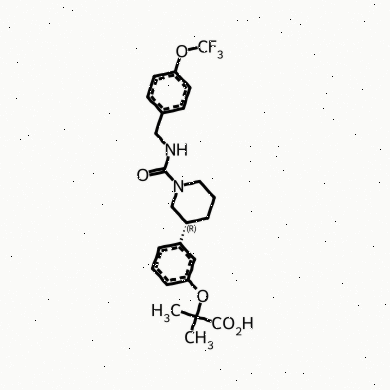 CC(C)(Oc1cccc([C@H]2CCCN(C(=O)NCc3ccc(OC(F)(F)F)cc3)C2)c1)C(=O)O